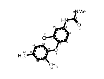 CNC(=O)Nc1ccc(Oc2ccc(C)cc2C)c(Cl)c1